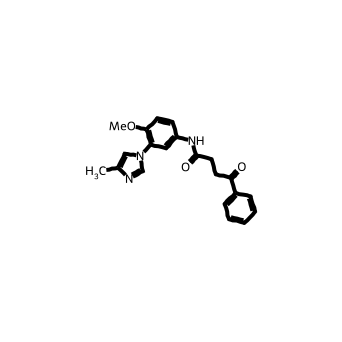 COc1ccc(NC(=O)CCC(=O)c2ccccc2)cc1-n1cnc(C)c1